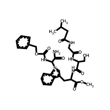 COC(=O)C(Cc1cn(C(NC(=O)OCc2ccccc2)C(N)=O)c2ccccc12)NC(=O)C(CO)NC(=O)CNC(=O)CC(C)C